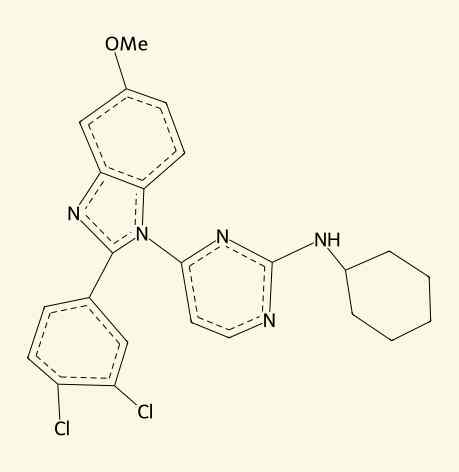 COc1ccc2c(c1)nc(-c1ccc(Cl)c(Cl)c1)n2-c1ccnc(NC2CCCCC2)n1